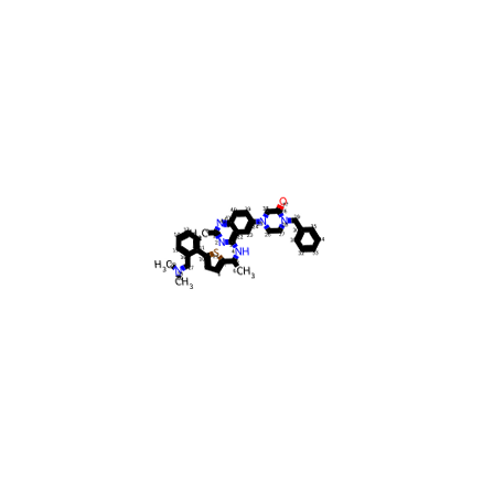 Cc1nc(NC(C)c2ccc(-c3ccccc3CN(C)C)s2)c2cc(N3CCN(Cc4ccccc4)C(=O)C3)ccc2n1